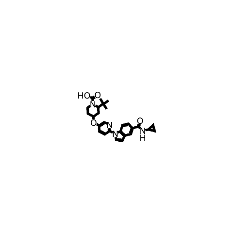 CC(C)(C)C1CC(Oc2ccc(-n3ccc4cc(C(=O)NC5CC5)ccc43)nc2)CCN1C(=O)O